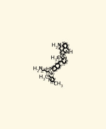 Cc1ccc([C@H](C)N(CCCCN)C[C@H]2Cc3ccc(Cc4cccnc4[C@H](C)N(CCCCN)C[C@H]4Cc5ccccc5CN4)cc3CN2)nc1